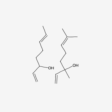 C=CC(C)(O)CCC=C(C)C.C=CC(O)CCC=CC